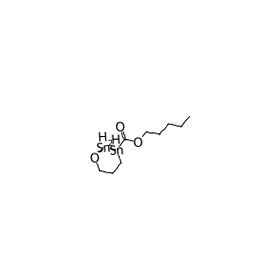 CCCCCO[C](=O)[SnH]1[CH2]CC[O][SnH2]1